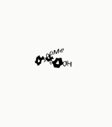 COC(=O)C(C)(CCSCc1ccccc1)Oc1ccc(O)cc1